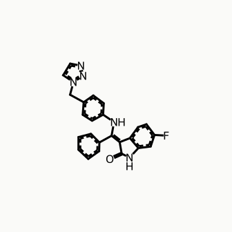 O=C1Nc2cc(F)ccc2C1=C(Nc1ccc(Cn2ccnn2)cc1)c1ccccc1